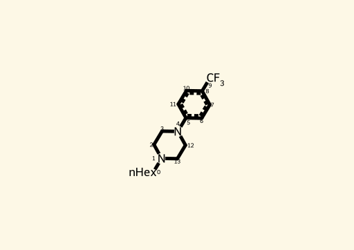 [CH2]CCCCCN1CCN(c2ccc(C(F)(F)F)cc2)CC1